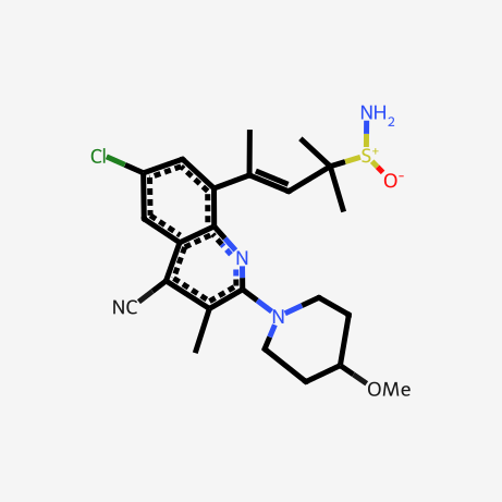 COC1CCN(c2nc3c(C(C)=CC(C)(C)[S+](N)[O-])cc(Cl)cc3c(C#N)c2C)CC1